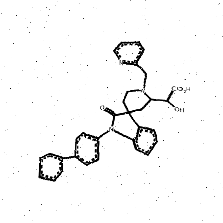 O=C(O)C(O)C1CC2(CCN1Cc1ccccn1)C(=O)N(c1ccc(-c3ccccc3)cc1)c1ccccc12